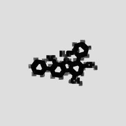 Cc1cc(C)c2c(oc3c(C#N)c(-c4ccccc4)ccc32)c1-c1cccc[n+]1C